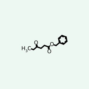 CCC(=O)CCC(=O)OCc1ccccc1